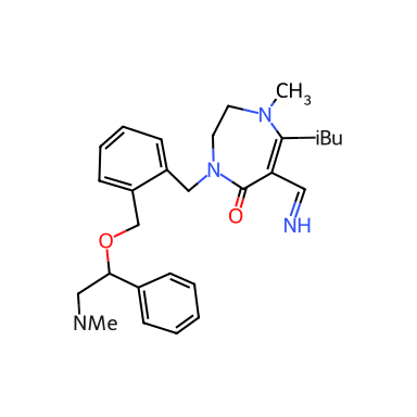 CCC(C)C1=C(C=N)C(=O)N(Cc2ccccc2COC(CNC)c2ccccc2)CCN1C